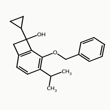 CC(C)c1ccc2c(c1OCc1ccccc1)C(O)(C1CC1)C2